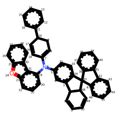 C1=CC2c3cc(N(C4=CCC(c5ccccc5)C=C4)c4cccc5oc6ccccc6c45)ccc3C3(c4ccccc4-c4ccccc43)C2C=C1